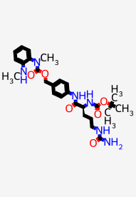 CNc1ccccc1N(C)C(=O)OCc1ccc(NC(=O)[C@H](CCCNC(N)=O)NC(=O)OC(C)(C)C)cc1